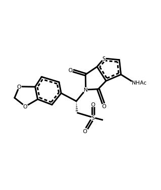 CC(=O)Nc1csc2c1C(=O)N([C@H](CS(C)(=O)=O)c1ccc3c(c1)OCO3)C2=O